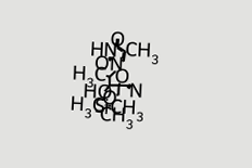 Cc1cn(C2OC(C#N)(CO[Si](C)(C)C)C(O)C2C)c(=O)[nH]c1=O